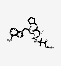 CCCCOC(=O)C(C)(C)N[P@](=O)(CO[C@H](C)Cn1cnc2c(N)ncnc21)O[C@@H](C)C(=O)OC1CCCC1